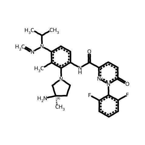 C=NN(c1ccc(NC(=O)c2ccc(=O)n(-c3c(F)cccc3F)n2)c(N2CC[C@@](C)(N)C2)c1C)C(C)C